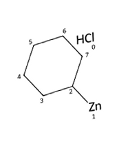 Cl.[Zn][CH]1CCCCC1